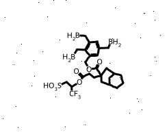 BCc1cc(CB)c(CB)c(COC(=O)C2(CCC(=O)OC(CS(=O)(=O)O)C(F)(F)F)CC3CCCC(C3)C2)c1